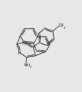 Nc1nc2nc(-c3ccc(C(F)(F)F)cc3)c1-c1ccc3ccc-2nc3c1